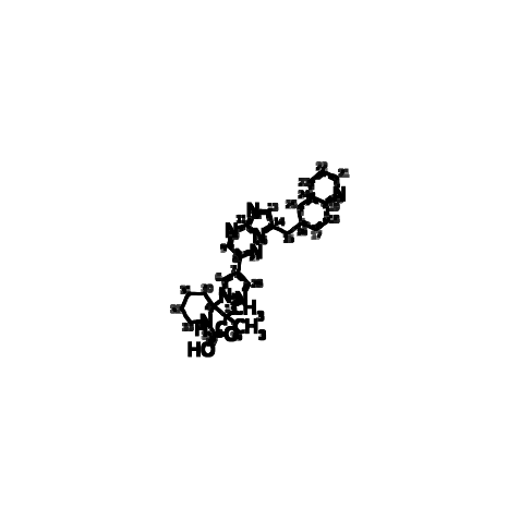 CC(C)(C)C1(n2cc(-c3cnc4ncc(Cc5ccc6ncccc6c5)n4n3)cn2)CCCCN1C(=O)O